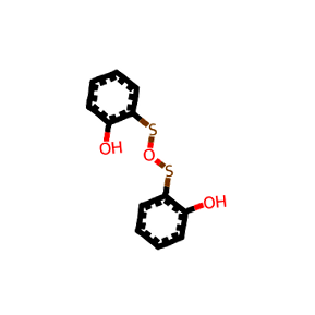 Oc1ccccc1SOSc1ccccc1O